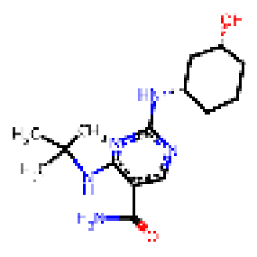 CC(C)(C)Nc1nc(N[C@H]2CCC[C@@H](O)C2)ncc1C(N)=O